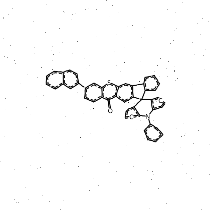 O=c1c2ccc(-c3ccc4ccccc4c3)cc2sc2cc3c(cc12)C1(c2ccccc2-3)c2ccccc2N(c2ccccc2)c2ccccc21